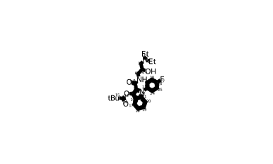 CCN(CC)CC(O)CNC(=O)c1c(OC(=O)C(C)(C)C)c2ccccc2n1-c1ccc(F)cc1